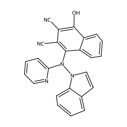 N#Cc1c(C#N)c(N(c2ccccn2)n2ccc3ccccc32)c2ccccc2c1O